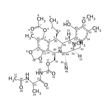 CCS[C@@H]1c2c(OC(C)=O)c(C)c3c(c2[C@H](COC(=O)NC(=O)C(C)NC(C)=O)N2C1[C@@H]1c4c(cc(C)c(OC)c4O)C[C@@H]([C@@H]2C#N)N1C)OCO3